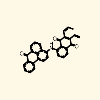 C=CC1=C(/C=C\C)C(=O)c2c(Nc3ccc4c5c(cccc35)C(=O)c3ccccc3-4)cccc2C1=O